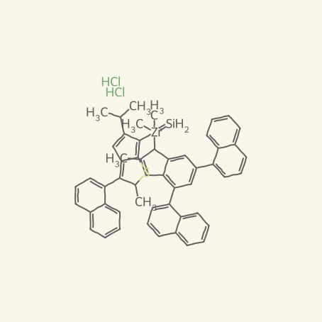 CC1=Cc2c(-c3cccc4ccccc34)cc(-c3cccc4ccccc34)cc2[CH]1[Zr]([CH3])([CH3])(=[SiH2])[C]1=C2SC(C)C(c3cccc4ccccc34)=C2C=C1C(C)C.Cl.Cl